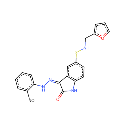 O=Nc1ccccc1N/N=C1\C(=O)Nc2ccc(SNCc3ccco3)cc21